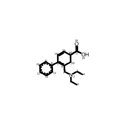 CCN(CC)CC1=C(c2ccccc2)C=CC(C(=O)O)C1